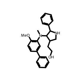 COc1ccc(-c2ccccc2)cc1N(C)C1C(CCO)CNC1c1ccccc1